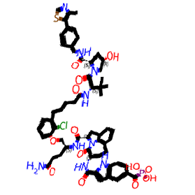 Cc1ncsc1-c1ccc(CNC(=O)[C@@H]2C[C@@H](O)CN2C(=O)[C@@H](NC(=O)CCCCc2cccc(OC[C@H](CCC(N)=O)NC(=O)[C@@H]3Cc4cccc5c4N3C(=O)[C@@H](NC(=O)c3cc4cc(C(=O)P(=O)(O)O)ccc4[nH]3)CC5)c2Cl)C(C)(C)C)cc1